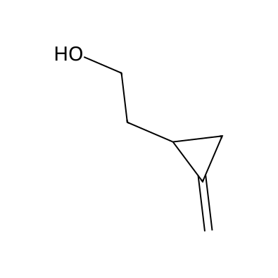 C=C1CC1CCO